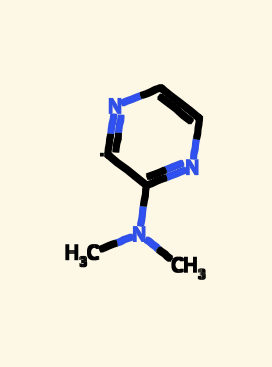 CN(C)c1[c]nccn1